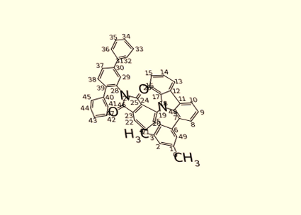 Cc1cc(C)cc(-c2cccc3c4ccccc4n(-c4cccc5c4C(=O)N(c4cc(-c6ccccc6)ccc4-c4ccccc4)C5=O)c23)c1